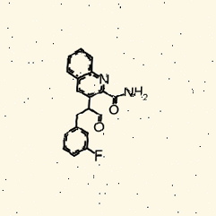 NC(=O)c1nc2ccccc2cc1C(C=O)Cc1cccc(F)c1